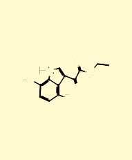 CCOC(=O)C(=O)c1c[nH]c2c(Br)ccc(F)c12